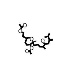 C=C(CC(=O)C(C)CCC[C@@]1(C)OCC(CCOC(C)=O)CCC1OC(C)=O)C(C)C